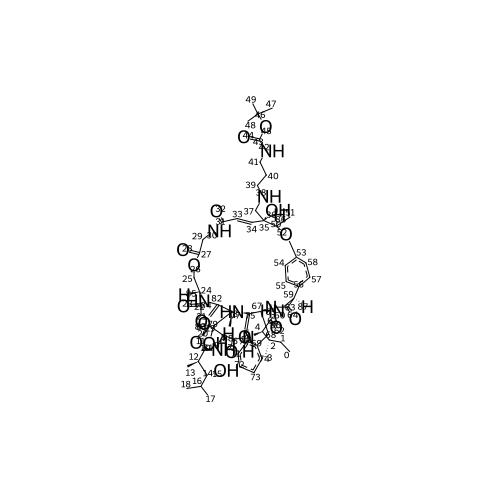 CC[C@H](C)[C@H]1NC(=O)[C@@H](NC(=O)[C@H](C)[C@H](O)C(C)C)[C@@H](C)OC(=O)[C@@H]2COC(=O)CNC(=O)/C=C/[C@](O)(CNCCCNC(=O)OC(C)(C)C)[C@@H](C)Oc3ccc(cc3)[C@H](NC1=O)C(=O)N(C)C(Cc1ccccc1)C(=O)N[C@H]([C@@H](C)O)C(=O)N2